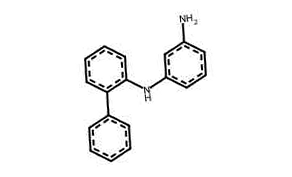 Nc1cccc(Nc2ccccc2-c2ccccc2)c1